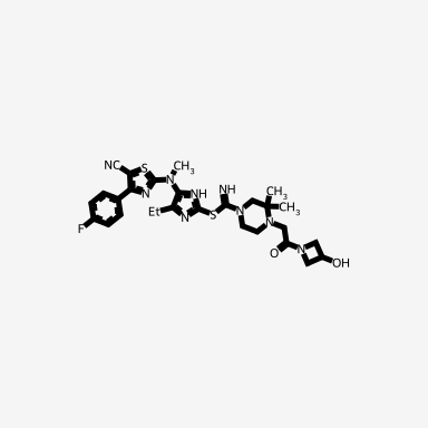 CCc1nc(SC(=N)N2CCN(CC(=O)N3CC(O)C3)C(C)(C)C2)[nH]c1N(C)c1nc(-c2ccc(F)cc2)c(C#N)s1